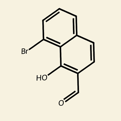 O=Cc1ccc2cccc(Br)c2c1O